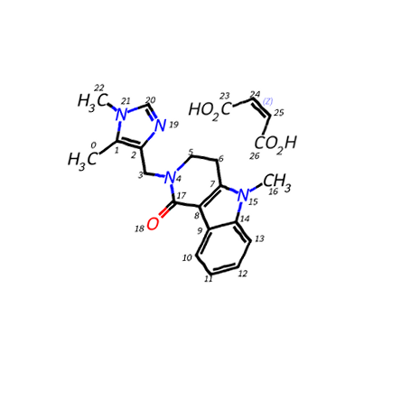 Cc1c(CN2CCc3c(c4ccccc4n3C)C2=O)ncn1C.O=C(O)/C=C\C(=O)O